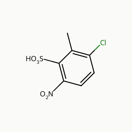 Cc1c(Cl)ccc([N+](=O)[O-])c1S(=O)(=O)O